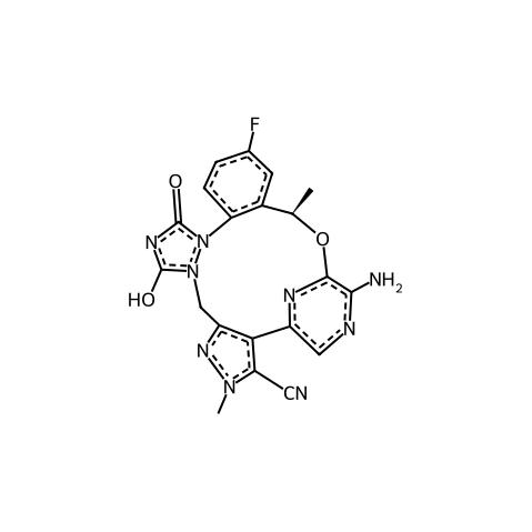 C[C@H]1Oc2nc(cnc2N)-c2c(nn(C)c2C#N)Cn2c(O)nc(=O)n2-c2ccc(F)cc21